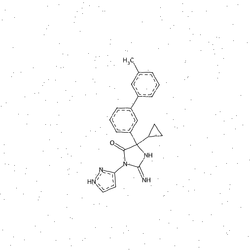 Cc1cccc(-c2cccc(C3(C4CC4)NC(=N)N(c4cc[nH]n4)C3=O)c2)c1